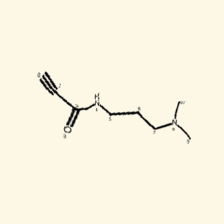 C#CC(=O)NCCCN(C)C